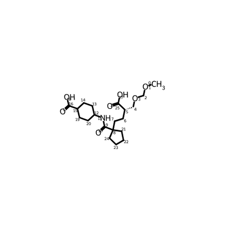 COCOC[C@H](CCC1(C(=O)NC2CCC(C(=O)O)CC2)CCCC1)C(=O)O